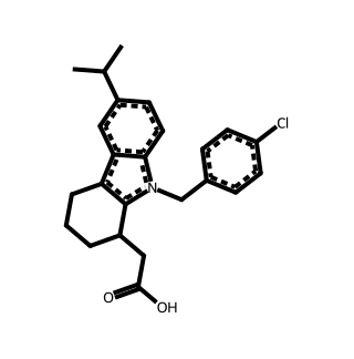 CC(C)c1ccc2c(c1)c1c(n2Cc2ccc(Cl)cc2)C(CC(=O)O)CCC1